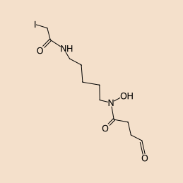 O=CCCC(=O)N(O)CCCCCNC(=O)CI